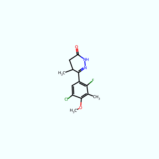 COc1c(Cl)cc(C2=NNC(=O)CC2C)c(F)c1C